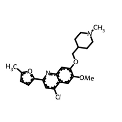 COc1cc2c(Cl)cc(-c3ccc(C)o3)nc2cc1OCC1CCN(C)CC1